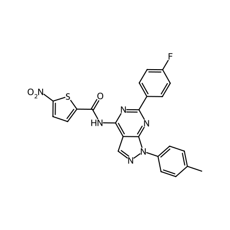 Cc1ccc(-n2ncc3c(NC(=O)c4ccc([N+](=O)[O-])s4)nc(-c4ccc(F)cc4)nc32)cc1